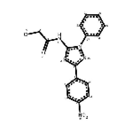 O=C(CCl)Nc1nc(-c2ccc([N+](=O)[O-])cc2)nn1-c1ccccc1